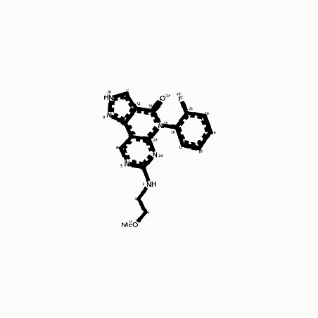 COCCNc1ncc2c3n[nH]cc3c(=O)n(-c3ccccc3F)c2n1